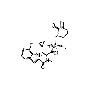 CN(C(=O)c1cc2cccc(Cl)c2[nH]1)C(CC1CC1)C(=O)N[C@H](C#N)CC1CCCNC1=O